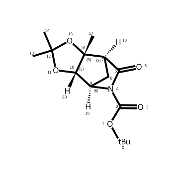 CC(C)(C)OC(=O)N1C(=O)[C@H]2C[C@@H]1[C@@H]1OC(C)(C)O[C@]21C